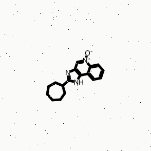 [O-][n+]1cc2nc(C3CCCCCC3)[nH]c2c2ccccc21